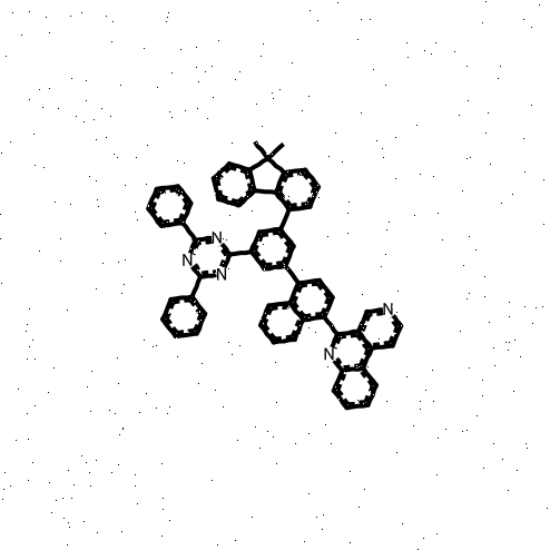 CC1(C)c2ccccc2-c2c(-c3cc(-c4nc(-c5ccccc5)nc(-c5ccccc5)n4)cc(-c4ccc(-c5nc6ccccc6c6ccncc56)c5ccccc45)c3)cccc21